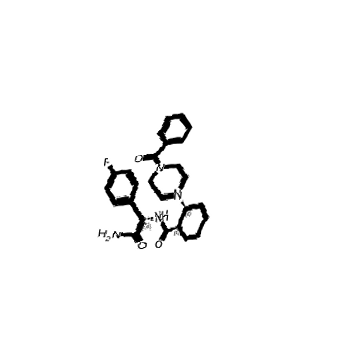 NC(=O)[C@@H](NC(=O)[C@@H]1CCCC[C@H]1N1CCN(C(=O)c2ccccc2)CC1)c1ccc(F)cc1